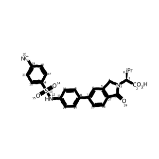 CC(C)[C@@H](C(=O)O)N1Cc2cc(-c3ccc(NS(=O)(=O)c4ccc(C#N)cc4)cc3)ccc2C1=O